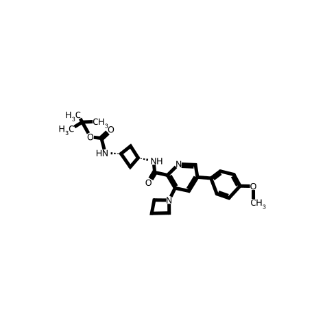 COc1ccc(-c2cnc(C(=O)N[C@H]3C[C@@H](NC(=O)OC(C)(C)C)C3)c(N3CCC3)c2)cc1